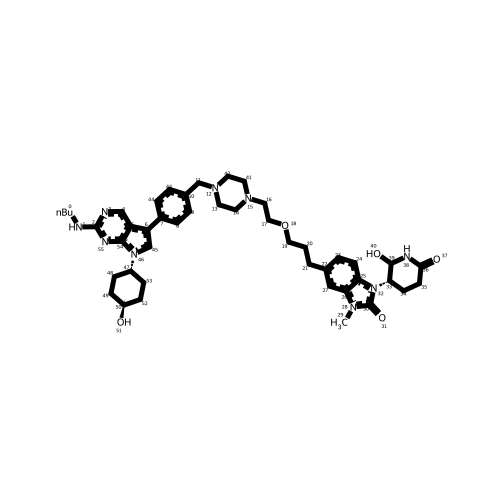 CCCCNc1ncc2c(-c3ccc(CN4CCN(CCOCCCc5ccc6c(c5)n(C)c(=O)n6[C@H]5CCC(=O)NC5O)CC4)cc3)cn([C@H]3CC[C@H](O)CC3)c2n1